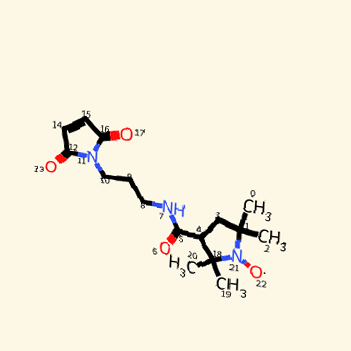 CC1(C)CC(C(=O)NCCCN2C(=O)C=CC2=O)C(C)(C)N1[O]